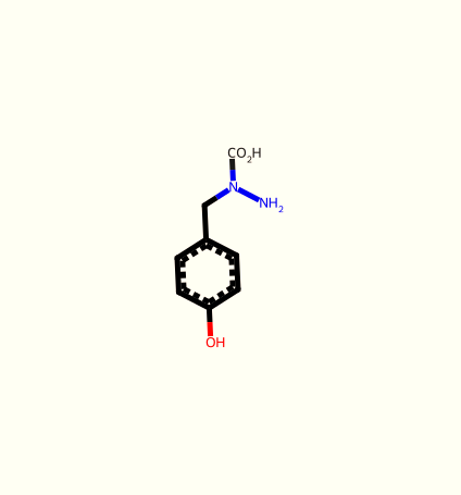 NN(Cc1ccc(O)cc1)C(=O)O